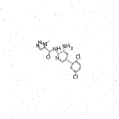 Cn1nncc1C(=O)Nc1ncc(-c2cc(Cl)ccc2Cl)cc1N